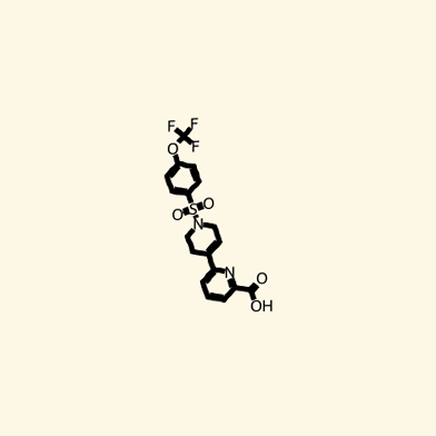 O=C(O)c1cccc(C2=CCN(S(=O)(=O)c3ccc(OC(F)(F)F)cc3)CC2)n1